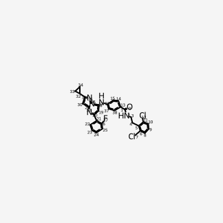 O=C(NCCc1c(Cl)cccc1Cl)c1ccc(Nc2cc(-c3ccccc3F)nc3cc(C4CC4)nn23)cc1